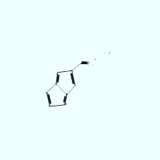 CON=CC1=CC2=CC=CC2=C1.[H+]